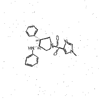 Cn1cnc(S(=O)(=O)N2C[C@H](Nc3ccccc3)[C@H](c3ccccc3)C2)c1